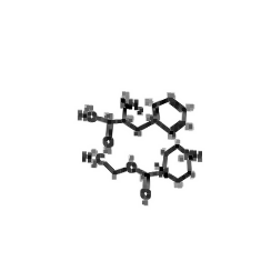 CCOC(=O)N1CCNCC1.NC(Cc1ccccc1)C(=O)O